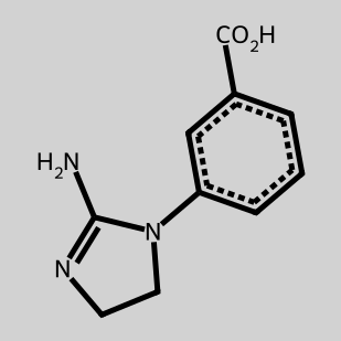 NC1=NCCN1c1cccc(C(=O)O)c1